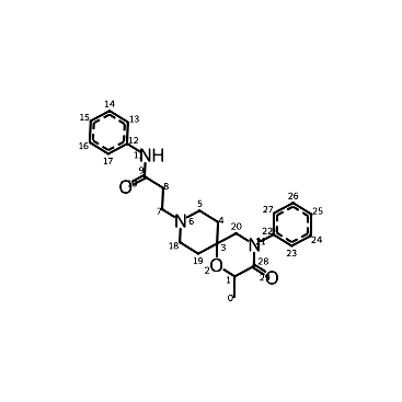 CC1OC2(CCN(CCC(=O)Nc3ccccc3)CC2)CN(c2ccccc2)C1=O